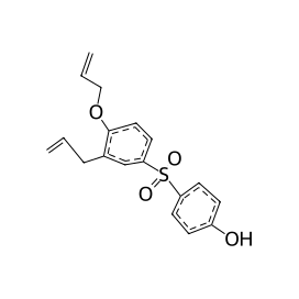 C=CCOc1ccc(S(=O)(=O)c2ccc(O)cc2)cc1CC=C